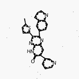 Cc1ccc(-c2nc3[nH]c(=O)c(-c4cccnc4)cc3nc2-c2ccc3ncccc3c2)s1